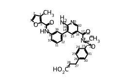 Cc1ccoc1C(=O)Nc1cccc(-c2cc(C(=O)N=S(C)(=O)c3ccc(CCC(=O)O)cc3)cnc2N)c1